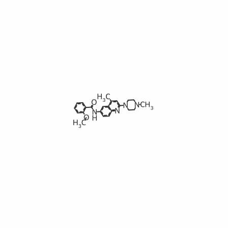 COc1ccccc1C(=O)Nc1ccc2nc(N3CCN(C)CC3)cc(C)c2c1